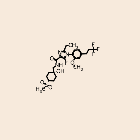 CCc1nc(C(=O)NC[C@]2(O)CC[C@@H](S(C)(=O)=O)CC2)c(F)n1-c1ccc(CCC(F)(F)F)cc1OC